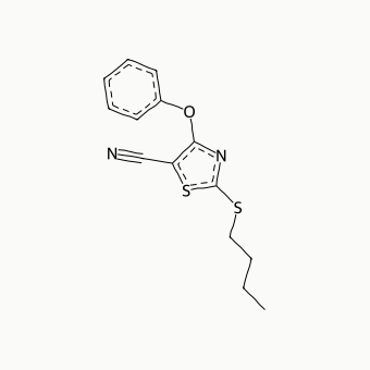 CCCCSc1nc(Oc2ccccc2)c(C#N)s1